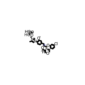 COc1cc(/C=C2\O[C@@H](C)[C@H]3COC[C@@H](c4ccc(Cl)cc4)N3C2=O)ccc1-n1cc(C)[n+](COP(=O)(O)O)c1